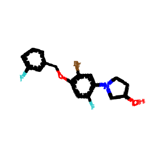 OC1CCN(c2cc(Br)c(OCc3cccc(F)c3)cc2F)C1